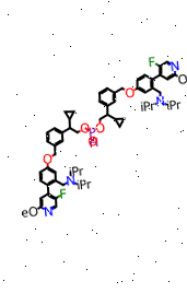 COc1cc(-c2ccc(OCc3cccc(C(CO[PH](=O)OCC(c4cccc(COc5ccc(-c6cc(OC)ncc6F)c(CN(C(C)C)C(C)C)c5)c4)C4CC4)C4CC4)c3)cc2CN(C(C)C)C(C)C)c(F)cn1